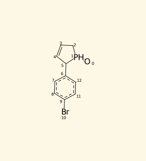 O=[PH]1CC=CC1c1ccc(Br)cc1